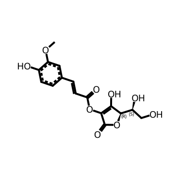 COc1cc(C=CC(=O)OC2=C(O)[C@@H]([C@@H](O)CO)OC2=O)ccc1O